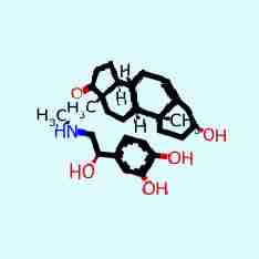 CNC[C@H](O)c1ccc(O)c(O)c1.C[C@]12CC[C@H](O)CC1=CC[C@@H]1[C@@H]2CC[C@]2(C)C(=O)CC[C@@H]12